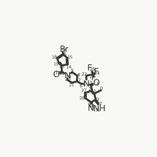 Cc1c(C(=O)N(CC2CCN(C(=O)c3ccc(Br)cc3)CC2)CC(F)(F)F)ccc2n[nH]cc12